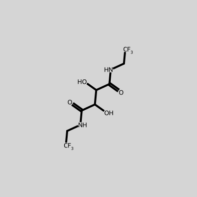 O=C(NCC(F)(F)F)C(O)C(O)C(=O)NCC(F)(F)F